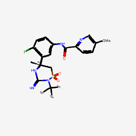 [2H]C([2H])([2H])N1C(=N)N[C@](C)(c2cc(NC(=O)c3ccc(OC)cn3)ccc2F)CS1(=O)=O